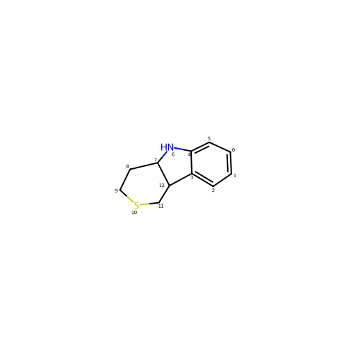 c1ccc2c(c1)NC1CCSCC21